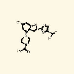 CC(C)C(=O)N1CCN(c2cc(Br)cc3nn(-c4nnc(C(F)F)s4)cc23)CC1